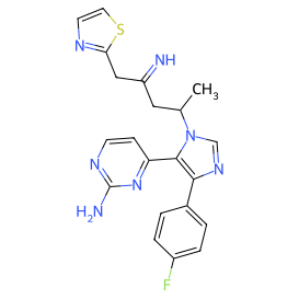 CC(CC(=N)Cc1nccs1)n1cnc(-c2ccc(F)cc2)c1-c1ccnc(N)n1